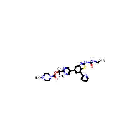 CCNC(=O)Nc1nc2cc(-c3cnc(C(C)(C)OC(=O)N4CCN(C)CC4)nc3)cc(-c3ccccn3)c2s1